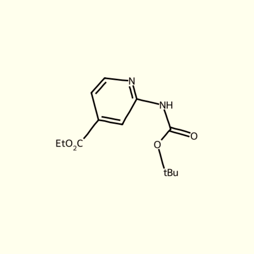 CCOC(=O)c1ccnc(NC(=O)OC(C)(C)C)c1